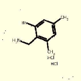 Cc1cc(C)c(CN)c(Br)c1.Cl.Cl